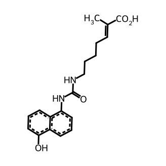 CC(=CCCCCNC(=O)Nc1cccc2c(O)cccc12)C(=O)O